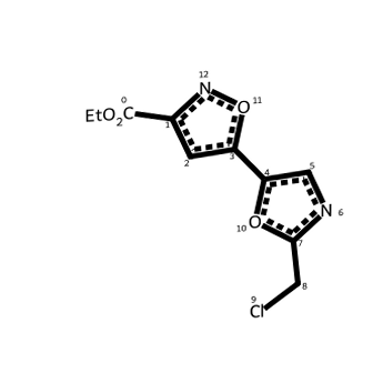 CCOC(=O)c1cc(-c2cnc(CCl)o2)on1